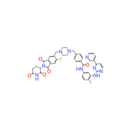 Cc1ccc(NC(=O)c2ccc(CN3CCN(Cc4cc5c(cc4F)C(=O)N(C4CCC(=O)NC4=O)C5=O)CC3)cc2)cc1Nc1nccc(-c2cccnc2)n1